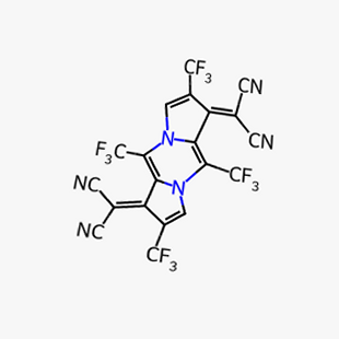 N#CC(C#N)=c1c(C(F)(F)F)cn2c(C(F)(F)F)c3c(=C(C#N)C#N)c(C(F)(F)F)cn3c(C(F)(F)F)c12